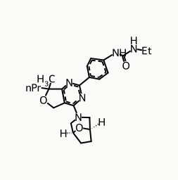 CCCC1(C)OCc2c(N3C[C@H]4CC[C@@H](C3)O4)nc(-c3ccc(NC(=O)NCC)cc3)nc21